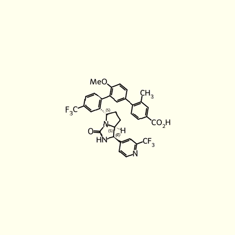 COc1ccc(-c2ccc(C(=O)O)cc2C)cc1-c1ccc(C(F)(F)F)cc1[C@@H]1CC[C@H]2[C@@H](c3ccnc(C(F)(F)F)c3)NC(=O)N12